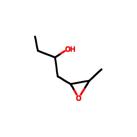 CCC(O)CC1OC1C